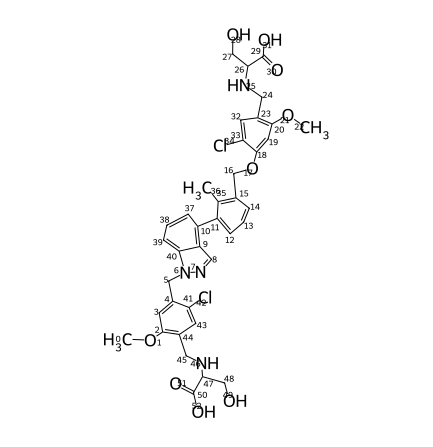 COc1cc(Cn2ncc3c(-c4cccc(COc5cc(OC)c(CNC(CO)C(=O)O)cc5Cl)c4C)cccc32)c(Cl)cc1CNC(CO)C(=O)O